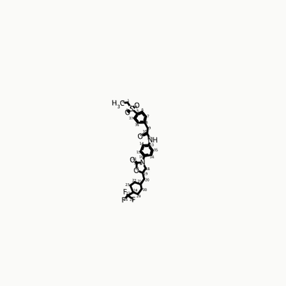 CCS(=O)(=O)c1ccc(CC(=O)Nc2ccc(N3CC(CC4CCC(C(F)(F)F)CC4)OC3=O)cc2)cc1